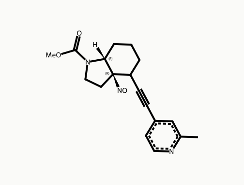 COC(=O)N1CC[C@@]2(N=O)C(C#Cc3ccnc(C)c3)CCC[C@@H]12